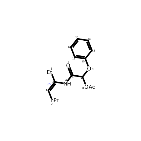 CCC/C=C(/CC)NC(=O)C(OC(C)=O)Oc1ccccc1